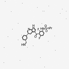 CCCS(=O)(=O)Nc1ccc(F)c(C(=O)c2c[nH]c3ncc(-c4cccc(C=N)c4)cc23)c1F